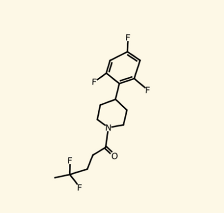 CC(F)(F)CCC(=O)N1CCC(c2c(F)cc(F)cc2F)CC1